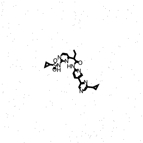 CCC(C(=O)Nc1ccc(-c2cncc(C3CC3)n2)cn1)c1ccnc(NS(=O)(=O)C2CC2)n1